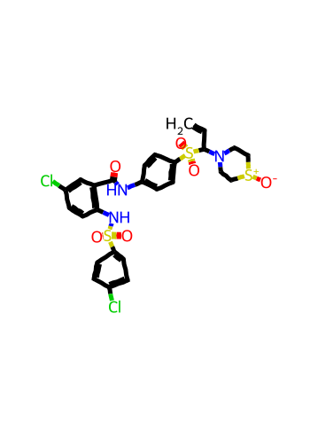 C=CC(N1CC[S+]([O-])CC1)S(=O)(=O)c1ccc(NC(=O)c2cc(Cl)ccc2NS(=O)(=O)c2ccc(Cl)cc2)cc1